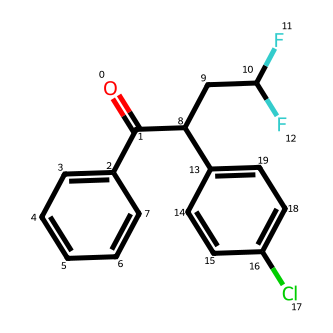 O=C(c1ccccc1)C(CC(F)F)c1ccc(Cl)cc1